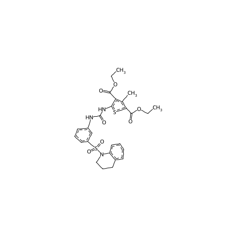 CCOC(=O)c1sc(NC(=O)Nc2cccc(S(=O)(=O)N3CCCc4ccccc43)c2)c(C(=O)OCC)c1C